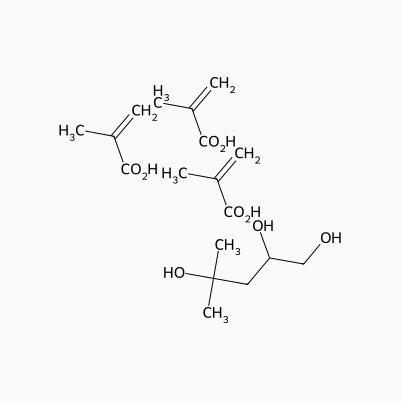 C=C(C)C(=O)O.C=C(C)C(=O)O.C=C(C)C(=O)O.CC(C)(O)CC(O)CO